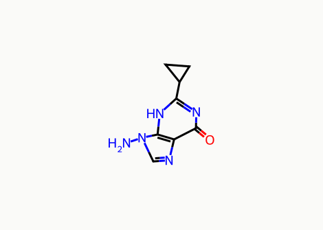 Nn1cnc2c(=O)nc(C3CC3)[nH]c21